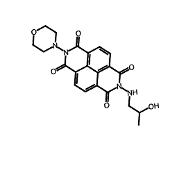 CC(O)CNN1C(=O)c2ccc3c4c(ccc(c24)C1=O)C(=O)N(N1CCOCC1)C3=O